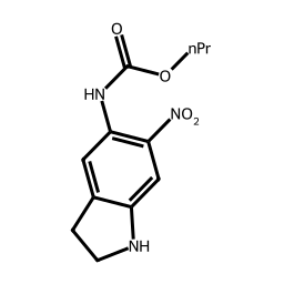 CCCOC(=O)Nc1cc2c(cc1[N+](=O)[O-])NCC2